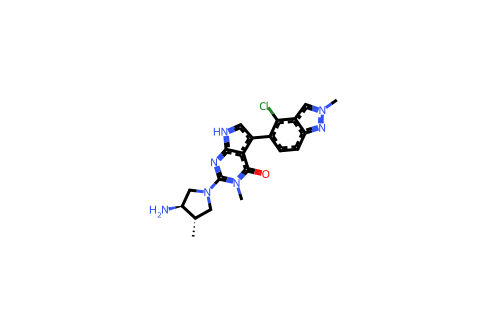 C[C@H]1CN(c2nc3[nH]cc(-c4ccc5nn(C)cc5c4Cl)c3c(=O)n2C)C[C@@H]1N